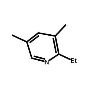 CCc1n[c]c(C)cc1C